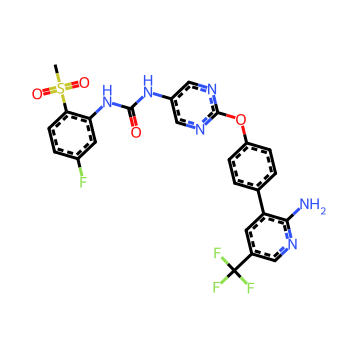 CS(=O)(=O)c1ccc(F)cc1NC(=O)Nc1cnc(Oc2ccc(-c3cc(C(F)(F)F)cnc3N)cc2)nc1